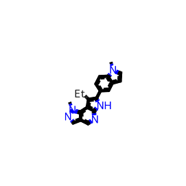 CCc1c(-c2ccc3c(ccn3C)c2)[nH]c2ncc3cnn(C)c3c12